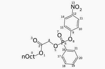 CCCCCCCCOC(=O)COP(=O)(Oc1ccc([N+](=O)[O-])cc1)c1[c]cccc1